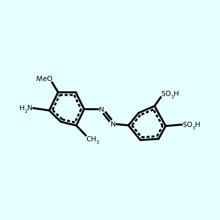 COc1cc(N=Nc2ccc(S(=O)(=O)O)c(S(=O)(=O)O)c2)c(C)cc1N